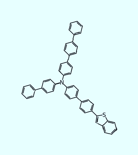 c1ccc(-c2ccc(-c3ccc(N(c4ccc(-c5ccccc5)cc4)c4ccc(-c5ccc(-c6cc7ccccc7s6)cc5)cc4)cc3)cc2)cc1